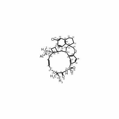 CC(=O)N(C)[C@H]1C=CCOC(C)(C)C(=O)NS(=O)(=O)c2ccc3c(c2)N(C[C@@H]2CC[C@H]21)C[C@@]1(CCCc2cc(Cl)ccc21)CO3